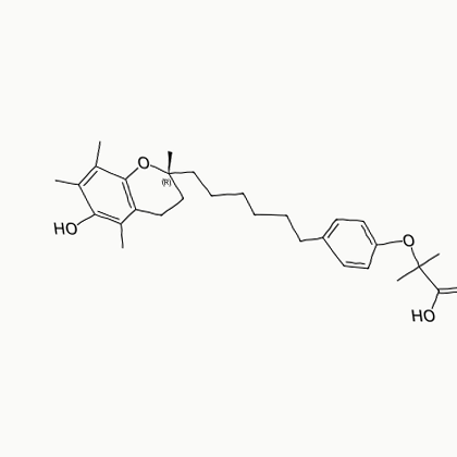 Cc1c(C)c2c(c(C)c1O)CC[C@@](C)(CCCCCCc1ccc(OC(C)(C)C(=O)O)cc1)O2